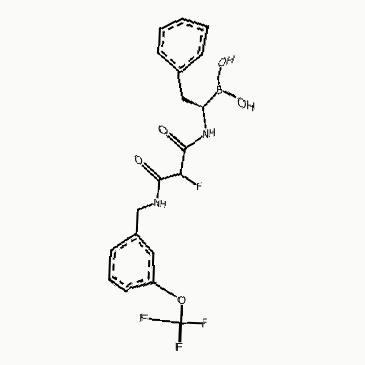 O=C(NCc1cccc(OC(F)(F)F)c1)C(F)C(=O)N[C@@H](Cc1ccccc1)B(O)O